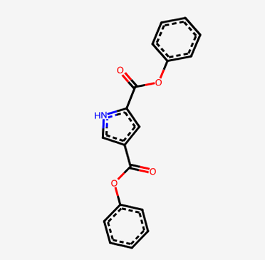 O=C(Oc1ccccc1)c1c[nH]c(C(=O)Oc2ccccc2)c1